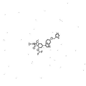 COc1cc(-c2cnc3cc(OCc4cncs4)ccn23)cc(OC(F)F)c1C(=O)NC1CC1